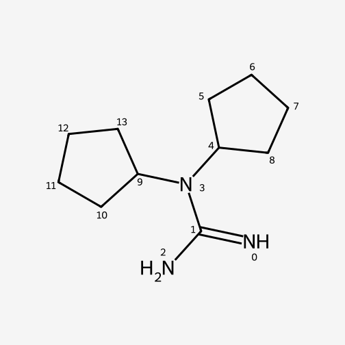 N=C(N)N(C1CCCC1)C1CCCC1